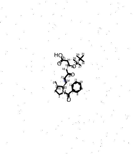 C[C@@H]1CCN(C(=O)c2ccccc2)[C@@H]1/C=C/C(=O)C[C@H](CC(=O)O)O[Si](C)(C)C(C)(C)C